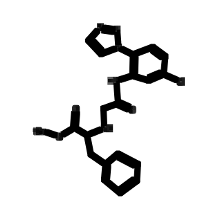 CC(C)(C)OC(=O)C(Cc1ccccc1)NCC(=O)Nc1cc(Cl)ccc1-n1ccnn1